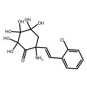 NC1(C=Cc2ccccc2Cl)CC(O)(O)C(O)(O)C(O)(O)C1=O